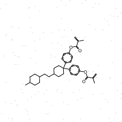 C=C(C)C(=O)Oc1ccc(C2(c3ccc(OC(=O)C(=C)C)cc3)CCC(CCC3CCC(C)CC3)CC2)cc1